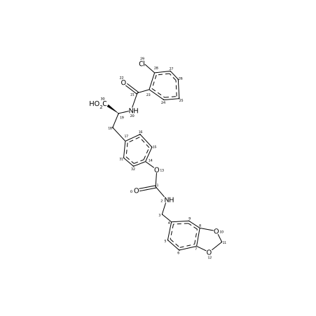 O=C(NCc1ccc2c(c1)OCO2)Oc1ccc(C[C@H](NC(=O)c2ccccc2Cl)C(=O)O)cc1